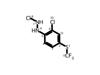 FC(F)(F)Sc1ccc(NNCl)c(Cl)c1